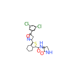 O=C(N[C@@H]1CCNC1=O)C1SC(C2=NO[C@@H](c3cc(Cl)cc(Cl)c3)C2)=C2CCCCC21